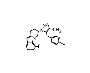 Cc1nnn(C2CCc3[c]c4cccc(F)c4n3C2)c1Cc1ccc(F)cc1